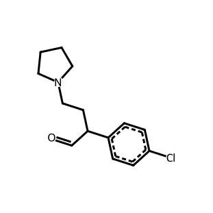 O=CC(CCN1CCCC1)c1ccc(Cl)cc1